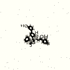 Oc1cccc(-c2ccc([C@@H]3[C@@H](CC[C@H](O)c4ccc(F)cc4)OC(=S)N3c3ccccc3)c(O)c2)c1